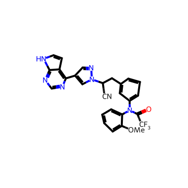 COc1ccccc1N(C(=O)C(F)(F)F)c1cccc(CC(C#N)n2cc(-c3ncnc4[nH]ccc34)cn2)c1